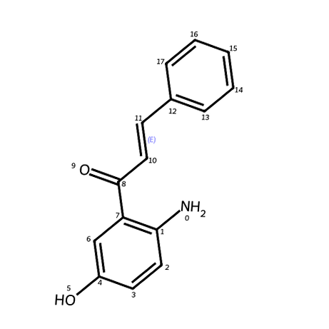 Nc1ccc(O)cc1C(=O)/C=C/c1ccccc1